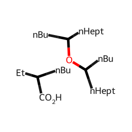 CCCCC(CC)C(=O)O.CCCCCCCC(CCCC)OC(CCCC)CCCCCCC